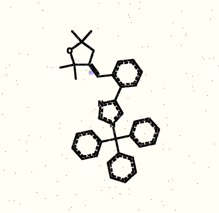 CC1(C)C/C(=C\c2ccccc2-c2cn(C(c3ccccc3)(c3ccccc3)c3ccccc3)cn2)C(C)(C)O1